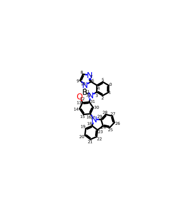 c1ccc2c(c1)-c1nccn1B1Oc3ccc(-n4c5ccccc5c5ccccc54)cc3N12